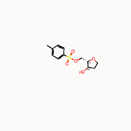 Cc1ccc(S(=O)(=O)OC[C@@H]2OCC[C@H]2O)cc1